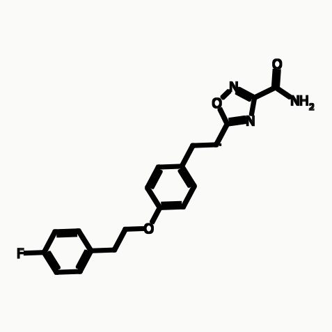 NC(=O)c1noc([CH]Cc2ccc(OCCc3ccc(F)cc3)cc2)n1